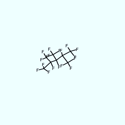 FC(F)(F)C(F)(C(F)(F)F)C(F)(C(F)(F)F)C(F)(C(F)(F)F)C(F)(F)F